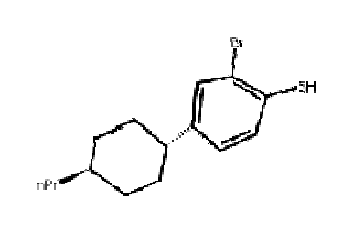 CCC[C@H]1CC[C@H](c2ccc(S)c(Br)c2)CC1